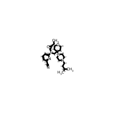 CCC1OC1N(CC1(N2CCN(CCC(C)C)CC2)CCOCC1)c1cccc(C#N)n1